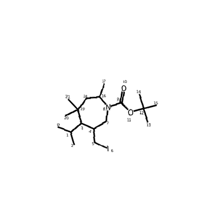 CC(C)C1C(CI)CN(C(=O)OC(C)(C)C)C(C)CC1(C)C